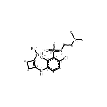 CCOC1=C(Nc2ccc(Cl)c(S(C)(=O)=NCCN(C)C)c2O)CC1